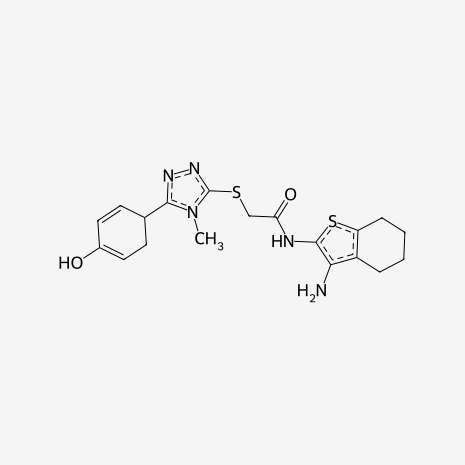 Cn1c(SCC(=O)Nc2sc3c(c2N)CCCC3)nnc1C1C=CC(O)=CC1